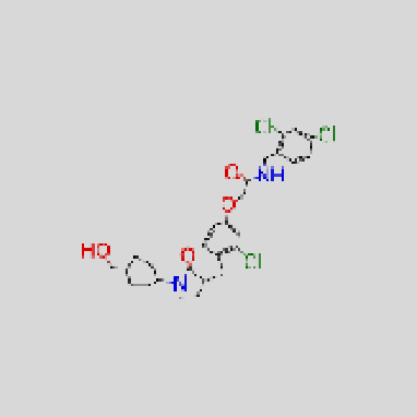 O=C(COc1ccc(CC2CCN(C3CCC(CO)CC3)C2=O)c(Cl)c1)NCc1ccc(Cl)cc1Cl